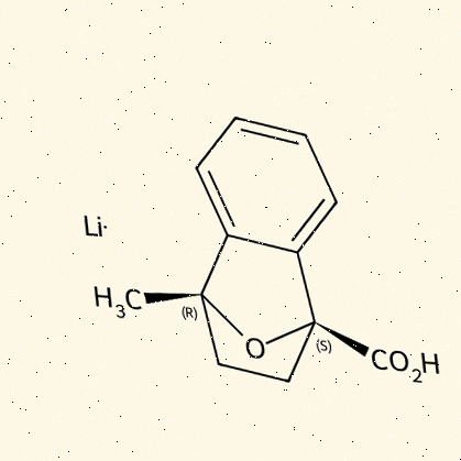 C[C@]12CC[C@](C(=O)O)(O1)c1ccccc12.[Li]